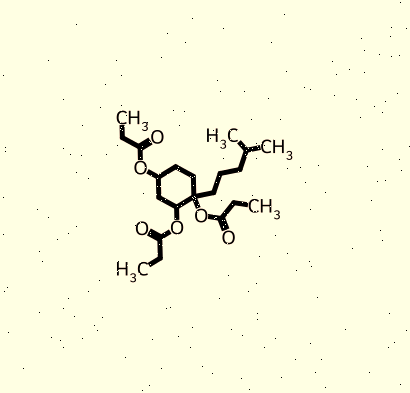 CCC(=O)OC1CCC(CCCC(C)C)(OC(=O)CC)C(OC(=O)CC)C1